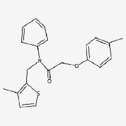 Cc1ccc(OCC(=O)N(Cc2sccc2C)c2ccccc2)cc1